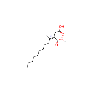 CCCCCCCCC/C(C)=C(/CC(=O)O)C(=O)OC